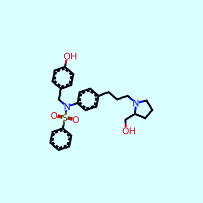 O=S(=O)(c1ccccc1)N(Cc1ccc(O)cc1)c1ccc(CCCN2CCCC2CO)cc1